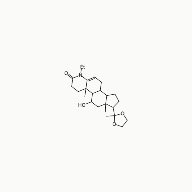 CCN1C(=O)CCC2(C)C1=CCC1C2C(O)CC2(C)C1CCC2C1(C)OCCO1